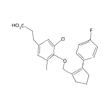 Cc1cc(CCC(=O)O)cc(Cl)c1OCC1=C(c2ccc(F)cc2)CCC1